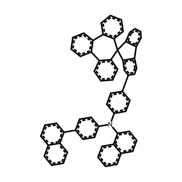 c1ccc2c(c1)-c1ccccc1C1(c3ccccc3-2)c2ccccc2-c2ccc(-c3ccc(N(c4ccc(-c5cccc6ccccc56)cc4)c4cccc5ccccc45)cc3)cc21